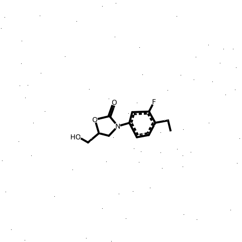 CCc1ccc(N2CC(CO)OC2=O)cc1F